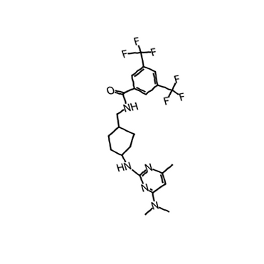 Cc1cc(N(C)C)nc(NC2CCC(CNC(=O)c3cc(C(F)(F)F)cc(C(F)(F)F)c3)CC2)n1